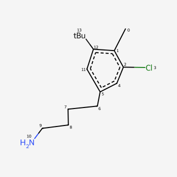 Cc1c(Cl)cc(CCCCN)cc1C(C)(C)C